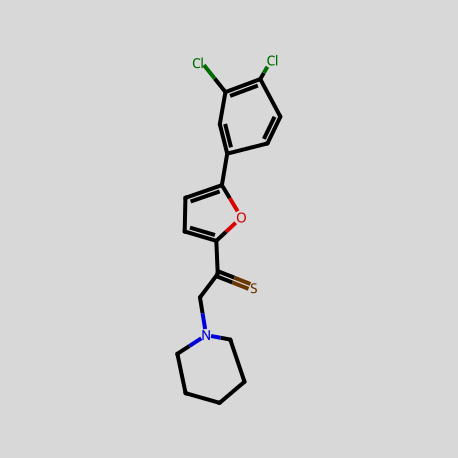 S=C(CN1CCCCC1)c1ccc(-c2ccc(Cl)c(Cl)c2)o1